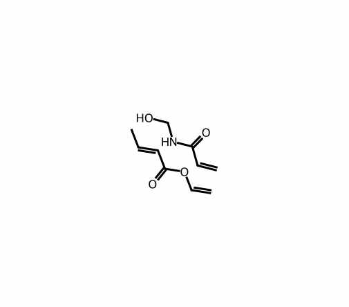 C=CC(=O)NCO.C=COC(=O)C=CC